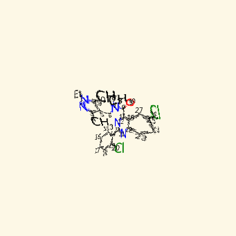 CCn1nc(C)c(CN(C)C(=O)c2nc(-c3ccccc3Cl)nc3ccc(Cl)cc23)c1C